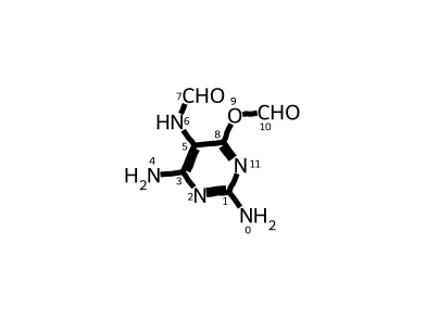 Nc1nc(N)c(NC=O)c(OC=O)n1